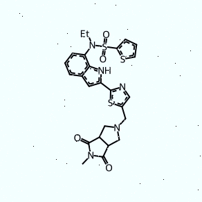 CCN(c1cccc2cc(-c3ncc(CN4CC5C(=O)N(C)C(=O)C5C4)s3)[nH]c12)S(=O)(=O)c1cccs1